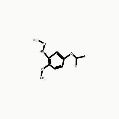 CONc1cc(OC(F)F)ccc1OC